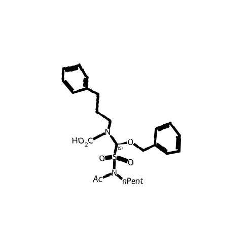 CCCCCN(C(C)=O)S(=O)(=O)[C@H](OCc1ccccc1)N(CCCc1ccccc1)C(=O)O